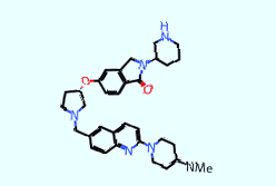 CNC1CCN(c2ccc3cc(CN4CC[C@H](Oc5ccc6c(c5)CN(C5CCCNC5)C6=O)C4)ccc3n2)CC1